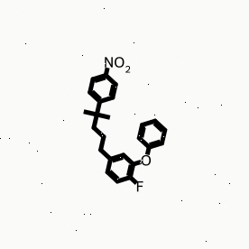 CC(C)(CCCc1ccc(F)c(Oc2ccccc2)c1)c1ccc([N+](=O)[O-])cc1